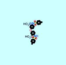 Cc1ccc(S(=O)(=O)Nc2ccc(Oc3ccc(NS(=O)(=O)c4ccc(C)cc4)c(C(=O)O)c3)cc2C(=O)O)cc1